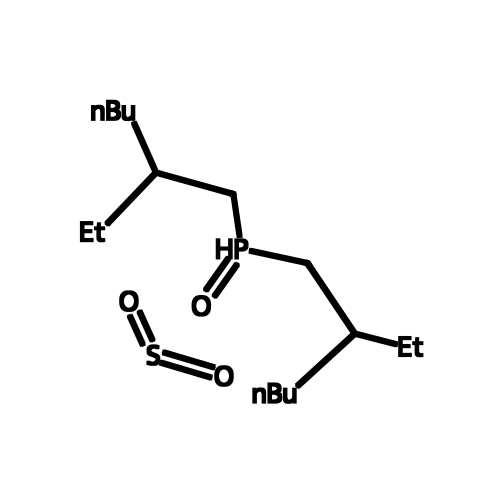 CCCCC(CC)C[PH](=O)CC(CC)CCCC.O=S=O